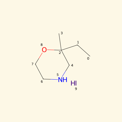 CCC1(C)CNCCO1.I